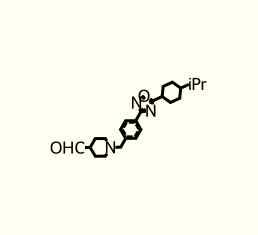 CC(C)C1CCC(c2nc(-c3ccc(CN4CCC(C=O)CC4)cc3)no2)CC1